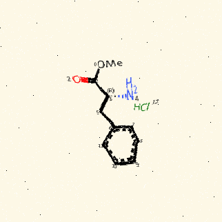 COC(=O)[C@H](N)Cc1ccccc1.Cl